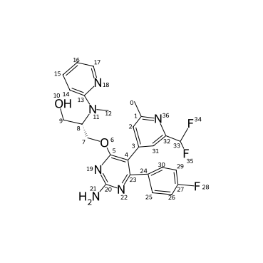 Cc1cc(-c2c(OC[C@H](CO)N(C)c3ccccn3)nc(N)nc2-c2ccc(F)cc2)cc(C(F)F)n1